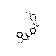 CC(NC(=O)Nc1ccc(S(=O)(=O)NC2CCN(C)CC2)cc1)c1ccccc1